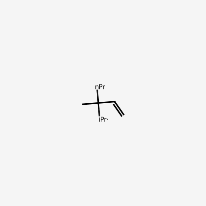 C=CC(C)(CCC)[C](C)C